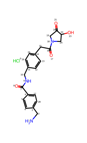 Cl.NCc1ccc(C(=O)NCc2ccc(CC(=O)N3CC(=O)C(O)C3)cc2)cc1